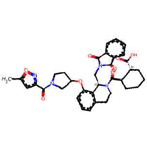 Cc1cc(C(=O)N2CCC(Oc3cccc4c3[C@@H](CN3C(=O)c5ccccc5C3=O)N(C(=O)C3CCCC[C@H]3C(=O)O)CC4)C2)no1